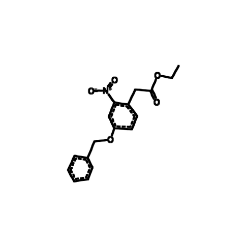 CCOC(=O)Cc1ccc(OCc2ccccc2)cc1[N+](=O)[O-]